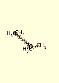 CCCCCCC(C)OC(=O)CCCCCCCCCCCCCCC(C)C